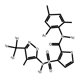 [2H]N(C(=O)c1sccc1S(=O)(=O)N([2H])c1onc(C([2H])([2H])[2H])c1C)c1c(C)cc(C)cc1C(C)=O